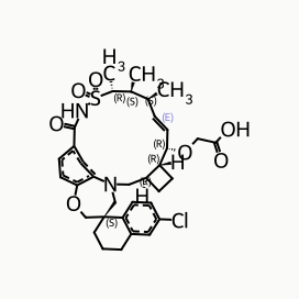 C[C@@H]1[C@@H](C)S(=O)(=O)NC(=O)c2ccc3c(c2)N(C[C@@H]2CC[C@H]2[C@@H](OCC(=O)O)/C=C/[C@@H]1C)C[C@@]1(CCCc2cc(Cl)ccc21)CO3